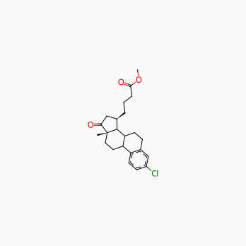 COC(=O)CCC[C@@H]1CC(=O)[C@@]2(C)CCC3c4ccc(Cl)cc4CCC3C12